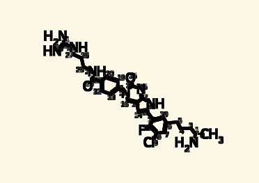 C[C@H](N)CCCc1cc(Cl)c(F)c(-c2cc3cn(-c4ccc(C(=O)NCCCNC(=N)N)cc4)c(=O)nc3[nH]2)c1